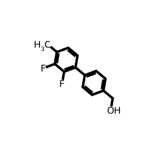 Cc1ccc(-c2ccc(CO)cc2)c(F)c1F